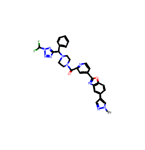 CC(C)n1cc(-c2ccc3oc(-c4ccnc(C(=O)N5CCN(C(c6ccccc6)c6nnn(C(F)F)n6)CC5)c4)nc3c2)cn1